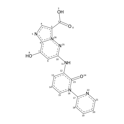 O=C(O)c1cnc2c(O)cc(Nc3cccn(-c4ccccn4)c3=O)nn12